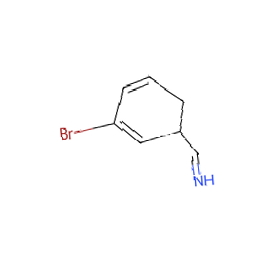 N=CC1C=C(Br)C=CC1